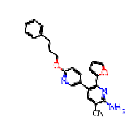 N#Cc1cc(-c2ccc(OCCCc3ccccc3)nc2)c(-c2ccco2)nc1N